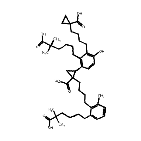 Cc1cccc(CCCCC(C)(C)C(=O)O)c1CCCCC1(C(=O)O)CC1c1ccc(O)c(CCCCC2(C(=O)O)CC2)c1CCCCC(C)(C)C(=O)O